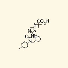 Cc1ccc(N(CC2CCCC2)C(=O)Nc2ncc(SC(C)(C)C(=O)O)s2)cc1